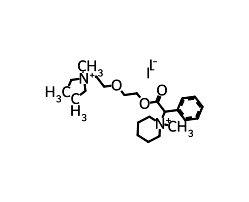 CC[N+](C)(CC)CCOCCOC(=O)C(c1ccccc1)[N+]1(C)CCCCC1.[I-].[I-]